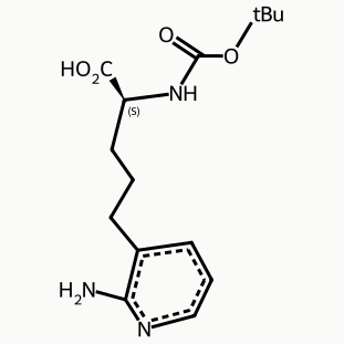 CC(C)(C)OC(=O)N[C@@H](CCCc1cccnc1N)C(=O)O